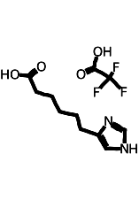 O=C(O)C(F)(F)F.O=C(O)CCCCCc1c[nH]cn1